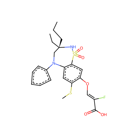 CCC[C@]1(CC)CN(c2ccccc2)c2cc(SC)c(O/C=C(\F)C(=O)O)cc2S(=O)(=O)N1